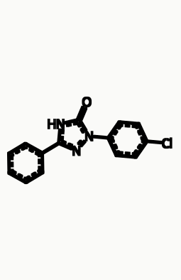 O=c1[nH]c(-c2ccccc2)nn1-c1ccc(Cl)cc1